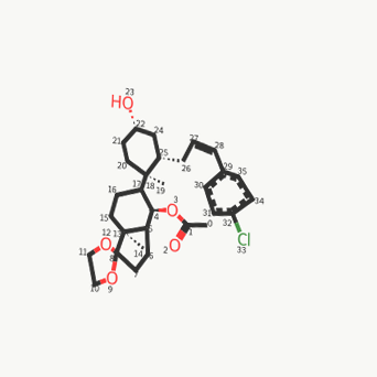 CC(=O)O[C@H]1C2CCC3(OCCO3)[C@@]2(C)CCC1[C@@]1(C)CC[C@H](O)C[C@@H]1C/C=C\c1ccc(Cl)cc1